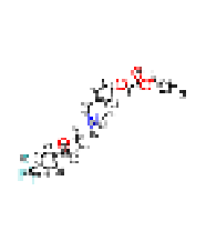 CCOC(=O)COc1ccc2c(c1)CCN(CCc1ccc(-c3ccc(C(F)(F)F)cc3)o1)CC2